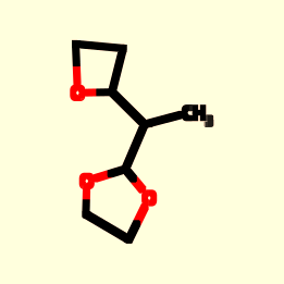 C[C](C1CCO1)C1OCCO1